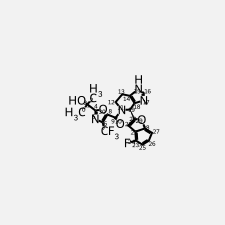 CC(C)(O)c1nc(C(F)(F)F)c(C(=O)N2CCc3[nH]cnc3[C@H]2c2cc3c(F)cccc3o2)o1